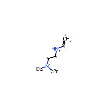 C=CNCCN(CC)C(C)C